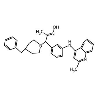 CC(=NO)C(c1cccc(Nc2cc(C)nc3ccccc23)c1)N1CCC(Cc2ccccc2)CC1